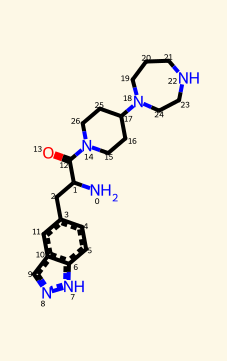 NC(Cc1ccc2[nH]ncc2c1)C(=O)N1CCC(N2CCCNCC2)CC1